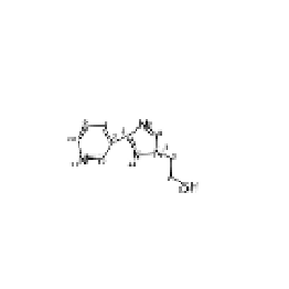 SCCn1cnc(-c2cccnc2)n1